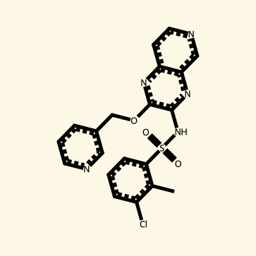 Cc1c(Cl)cccc1S(=O)(=O)Nc1nc2cnccc2nc1OCc1cccnc1